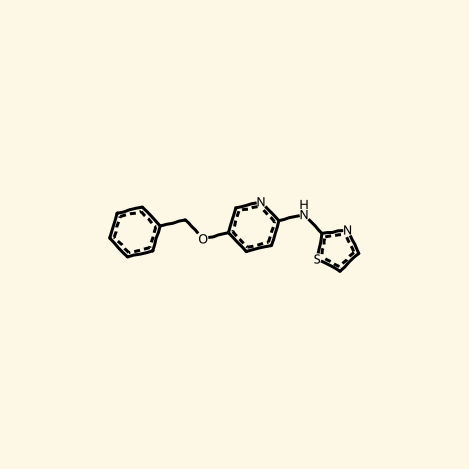 c1ccc(COc2ccc(Nc3nccs3)nc2)cc1